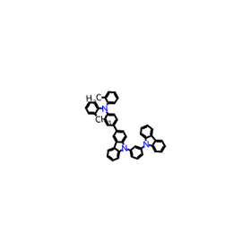 Cc1ccccc1N(c1ccc(-c2ccc3c(c2)c2ccccc2n3-c2cccc(-n3c4ccccc4c4ccccc43)c2)cc1)c1ccccc1C